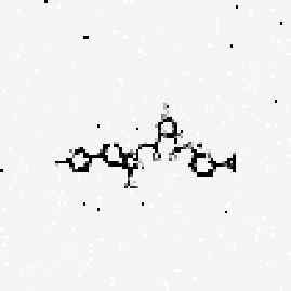 CC(=O)c1nn(CC(=O)N2C[C@H](F)C[C@H]2C(=O)Nc2cccc(C3CC3)n2)c2ccc(-c3cnc(C)nc3)cc12